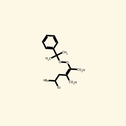 CCCCC(CC)CC(C(=O)O)=C(OOC(C)(C)c1ccccc1)C(=O)O